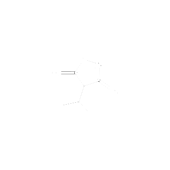 CC(C)C1C(=O)NSC1=O